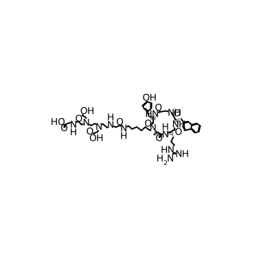 C[C@@H]1C(=O)N[C@@H](CCCNC(=N)N)C(=O)N[C@@H](Cc2ccc3ccccc3c2)C(=O)NCC(=O)N[C@H](Cc2ccc(O)cc2)C(=O)N1CCCCCCNC(=O)CNCCN(CCN(CCNCC(=O)O)CC(=O)O)CC(=O)O